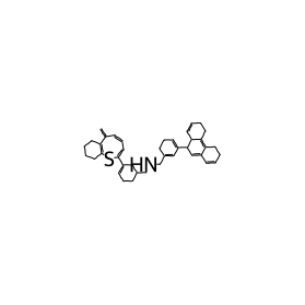 C=C1/C=C\C=C(\C2=CCCC(CNCC3=CC(C4C=C5C=CCCC5=C5CCC=CC54)=CCC3)C2)SC2=C1CCCC2